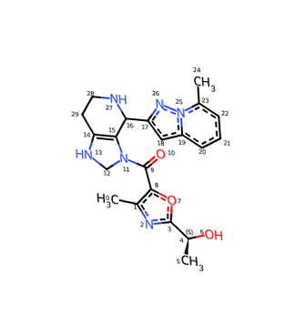 Cc1nc([C@H](C)O)oc1C(=O)N1CNC2=C1C(c1cc3cccc(C)n3n1)NCC2